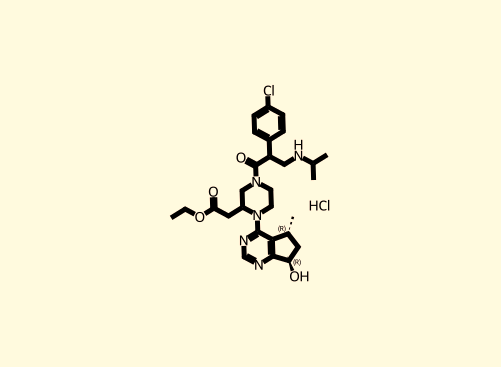 CCOC(=O)CC1CN(C(=O)C(CNC(C)C)c2ccc(Cl)cc2)CCN1c1ncnc2c1[C@H](C)C[C@H]2O.Cl